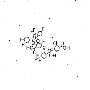 O=C(O)c1ccc(C(F)(F)F)cc1F.O=C(O)c1ccc(F)c(Cl)c1.O=C(O)c1ccc(F)cc1Cl.O=C(OC(=O)c1ccc(F)cc1C(F)(F)F)c1ccc(F)c(F)c1